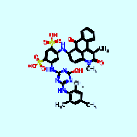 Cc1cc(C)c(Nc2nc(O)nc(Nc3cc(Nc4ccc5c6c4C(=O)c4ccccc4-c6c(C)c(=O)n5C)c(S(=O)(=O)O)cc3S(=O)(=O)O)n2)c(C)c1